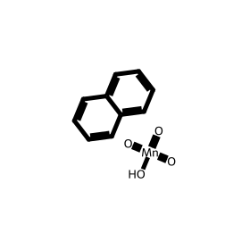 [O]=[Mn](=[O])(=[O])[OH].c1ccc2ccccc2c1